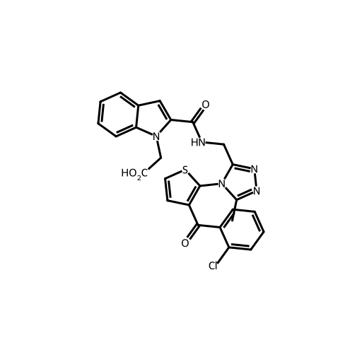 Cc1nnc(CNC(=O)c2cc3ccccc3n2CC(=O)O)n1-c1sccc1C(=O)c1ccccc1Cl